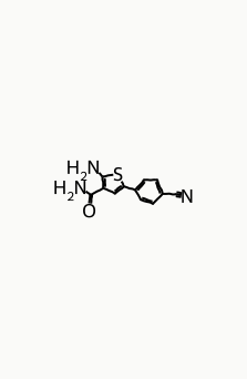 N#Cc1ccc(-c2cc(C(N)=O)c(N)s2)cc1